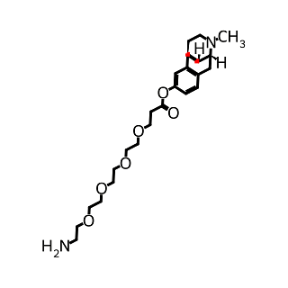 CN1CC[C@]23CCCC[C@H]2[C@H]1Cc1ccc(OC(=O)CCOCCOCCOCCOCCN)cc13